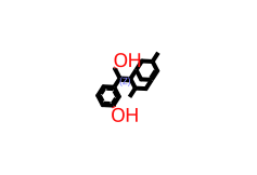 CC1C=C2CC(C)/C(=C(/CO)c3cccc(O)c3)C(C2)C1